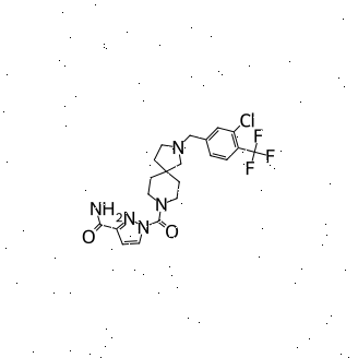 NC(=O)c1ccn(C(=O)N2CCC3(CCN(Cc4ccc(C(F)(F)F)c(Cl)c4)C3)CC2)n1